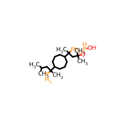 CC(C)CC(C)(P)C1CCCC(C(C)(P)CC(C)(C)OPO)CCC1